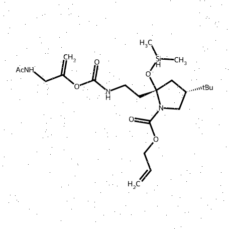 C=CCOC(=O)N1C[C@@H](C(C)(C)C)C[C@@]1(CCNC(=O)OC(=C)CNC(C)=O)O[SiH](C)C